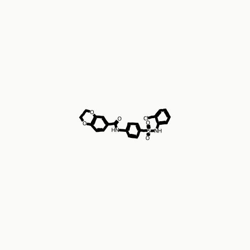 O=C(Nc1ccc(S(=O)(=O)Nc2ccccc2Cl)cc1)c1ccc2c(c1)OCCO2